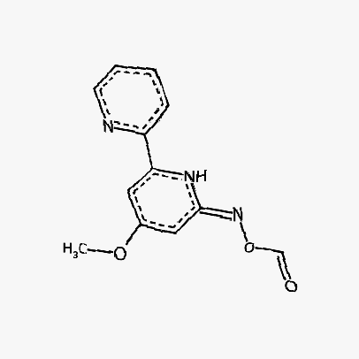 COc1cc(-c2ccccn2)[nH]/c(=N/OC=O)c1